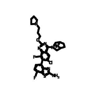 Nc1nc2c(-c3c(Cl)cc4c(N5CC6CCC(C5)N6)nc(OCCCN5CCCC5)nc4c3F)ccc(F)c2s1